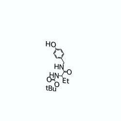 CCC(NC(=O)OC(C)(C)C)C(=O)NCc1ccc(O)cc1